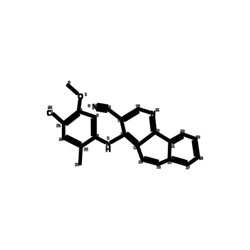 COc1cc(Nc2c(C#N)cnc3c2ccc2ccccc23)c(C)cc1Cl